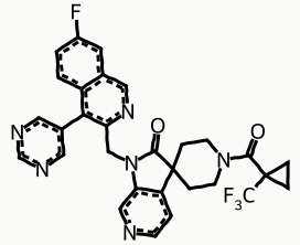 O=C1N(Cc2ncc3cc(F)ccc3c2-c2cncnc2)c2cnccc2C12CCN(C(=O)C1(C(F)(F)F)CC1)CC2